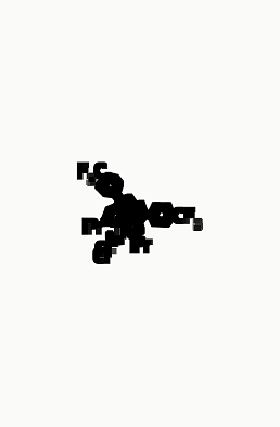 CC(C)C1=Cc2c(-c3ccc(C(F)(F)F)cc3)cccc2[CH]1[Ti+2]1([CH]2C(C(C)C)=Cc3c(-c4ccc(C(F)(F)F)cc4)cccc32)[CH2]C[CH2]1.[Cl-].[Cl-]